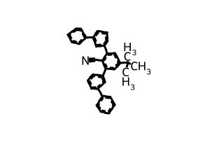 CC(C)(C)c1cc(-c2cccc(-c3ccccc3)c2)c(C#N)c(-c2cccc(-c3ccccc3)c2)c1